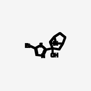 CCc1cnc(C2(O)CC3CCC(C2)N3)s1